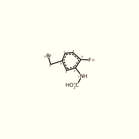 O=C(O)Nc1cc(CBr)ccc1F